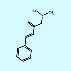 CN(C)CC(=O)C=Cc1ccccc1